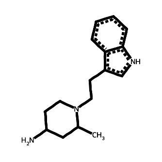 CC1CC(N)CCN1CCc1c[nH]c2ccccc12